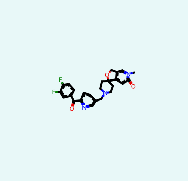 Cn1cc2c(cc1=O)C1(CCN(Cc3ccc(C(=O)c4ccc(F)c(F)c4)nc3)CC1)OC2